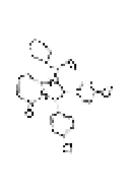 O=C(C1CCCC1)N1c2cccc(=O)n2[C@@H](c2ccc(Cl)cc2)[C@H]1c1ccc(Cl)cc1